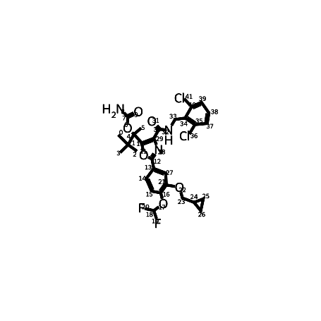 CC(C)(C)C(C)(OC(N)=O)c1oc(-c2ccc(OC(F)F)c(OCC3CC3)c2)nc1C(=O)NCc1c(Cl)cccc1Cl